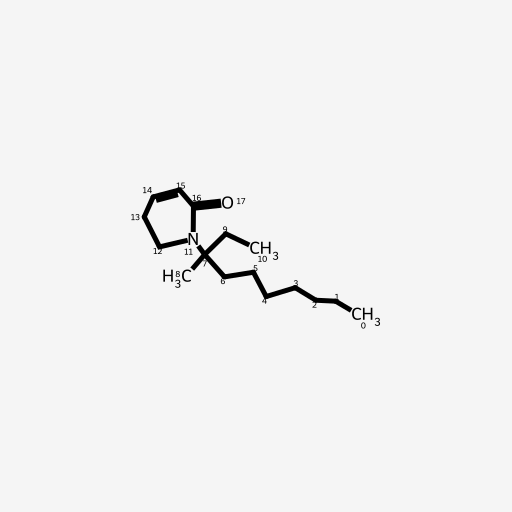 CCCCCCCC(C)(CC)N1CCC=CC1=O